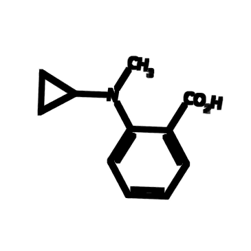 CN(c1ccccc1C(=O)O)C1CC1